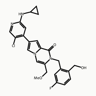 COCc1cn2cc(-c3cc(NC4CC4)ncc3Cl)cc2c(=O)n1Cc1cc(F)ccc1CO